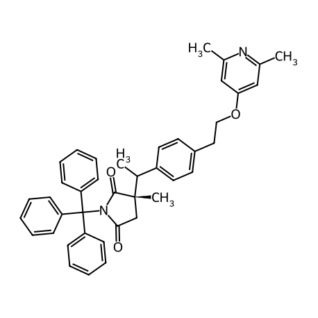 Cc1cc(OCCc2ccc(C(C)[C@]3(C)CC(=O)N(C(c4ccccc4)(c4ccccc4)c4ccccc4)C3=O)cc2)cc(C)n1